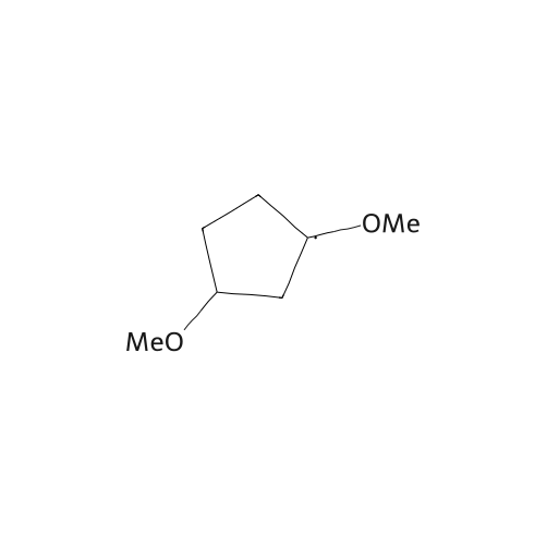 CO[C]1CCC(OC)C1